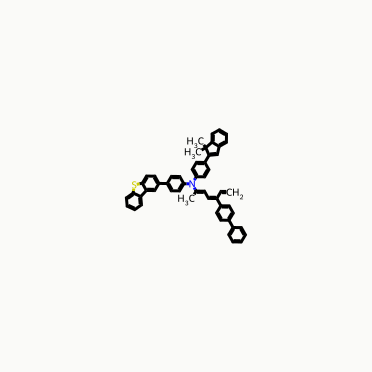 C=C/C(=C\C=C(/C)N(c1ccc(C2=Cc3ccccc3C2(C)C)cc1)c1ccc(-c2ccc3sc4ccccc4c3c2)cc1)c1ccc(-c2ccccc2)cc1